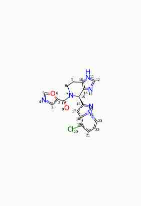 O=C(c1cnco1)N1CCc2[nH]cnc2[C@H]1c1cc2c(Cl)cccn2n1